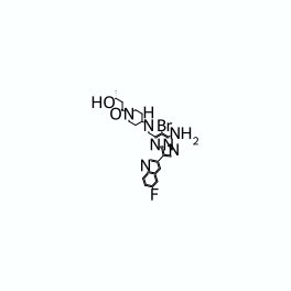 C[C@@H](O)CC(=O)N1CCC(NCc2nc3c(-c4cnc5ccc(F)cc5c4)cnn3c(N)c2Br)CC1